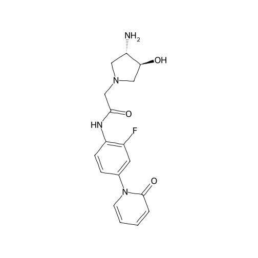 N[C@H]1CN(CC(=O)Nc2ccc(-n3ccccc3=O)cc2F)C[C@@H]1O